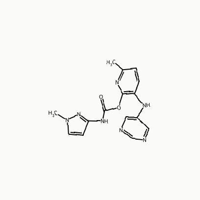 Cc1ccc(Nc2cncnc2)c(OC(=O)Nc2ccn(C)n2)n1